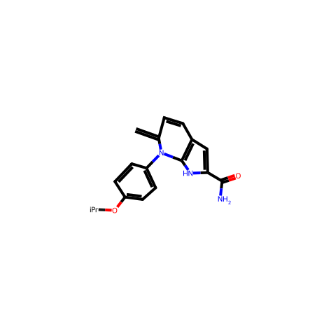 C=C1C=Cc2cc(C(N)=O)[nH]c2N1c1ccc(OC(C)C)cc1